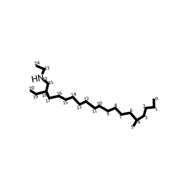 CCCCC(C)CCCCCCCCCCCCC(CC)CNCC